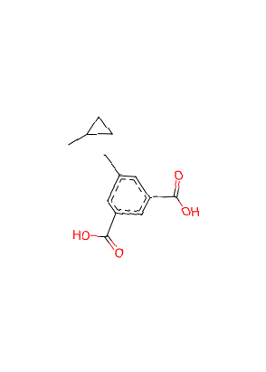 CC1CC1.Cc1cc(C(=O)O)cc(C(=O)O)c1